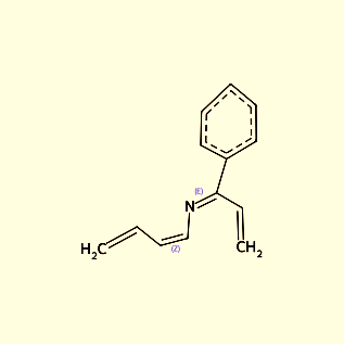 C=C/C=C\N=C(/C=C)c1ccccc1